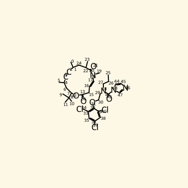 CC1CCC(C)CC(C(C)(C)C)OC(=O)C/C=C/N(C)C(=O)C(C)C1.CCCN(CCOc1c(Cl)cc(Cl)cc1Cl)C(=O)n1ccnc1